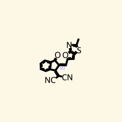 Cc1nc2oc(/C=C3\C(=O)c4ccccc4C3=C(C#N)C#N)cc2s1